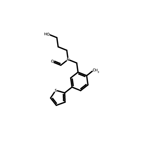 Cc1ccc(-c2cccs2)cc1CN(C=O)CCCO